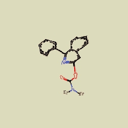 CCN(CC)C(=O)Oc1cc2ccccc2c(-c2ccccc2)n1